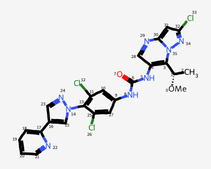 CO[C@@H](C)c1c(NC(=O)Nc2cc(Cl)c(-n3cc(-c4ccccn4)cn3)c(Cl)c2)cnc2cc(Cl)nn12